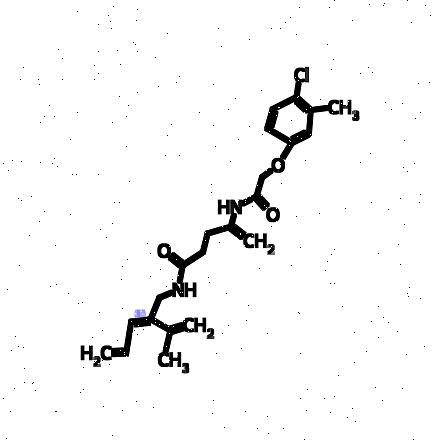 C=C/C=C(/CNC(=O)CCC(=C)NC(=O)COc1ccc(Cl)c(C)c1)C(=C)C